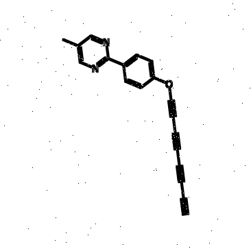 C#CC#CC#CC#COc1ccc(-c2ncc(C)cn2)cc1